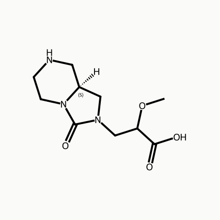 COC(CN1C[C@@H]2CNCCN2C1=O)C(=O)O